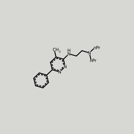 CCCN(CCC)CCNc1nnc(-c2ccccc2)cc1C